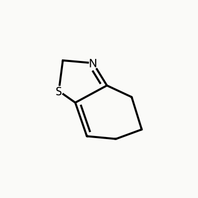 C1=C2SCN=C2CCC1